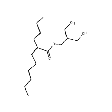 CCCCCCC(CCCC)C(=O)OCC(CO)CO